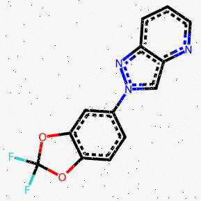 FC1(F)Oc2ccc(-n3cc4ncccc4n3)cc2O1